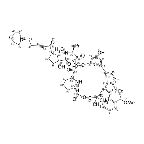 CCn1c(-c2cccnc2COC)c2c3cc(ccc31)-c1cc(O)cc(c1)C[C@H](NC(=O)[C@H](C(C)C)N(C)C(=O)[C@@]1(O)CCN(C(=O)C#CCCN3CCOCC3)C1)C(=O)N1CCC[C@H](N1)C(=O)OCC(C)(C)C2